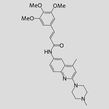 COc1cc(C=CC(=O)Nc2ccc3nc(N4CCN(C)CC4)cc(C)c3c2)cc(OC)c1OC